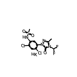 Cc1nn(-c2cc(NS(C)(=O)=O)c(Cl)cc2Cl)c(=O)n1C(F)F.[KH]